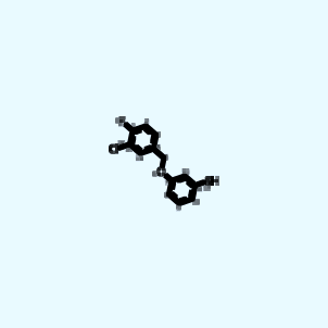 Fc1ccc(COc2cccc(S)c2)cc1Cl